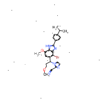 COCCC(c1cc(OC)c2[nH]c(-c3ccc(C(C)C)cc3)nc2c1Br)n1ccnc1C#N